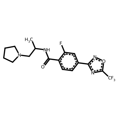 CC(CN1CCCC1)NC(=O)c1ccc(-c2noc(C(F)(F)F)n2)cc1F